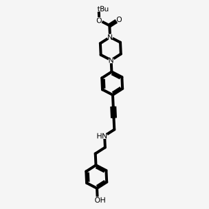 CC(C)(C)OC(=O)N1CCN(c2ccc(C#CCNCCc3ccc(O)cc3)cc2)CC1